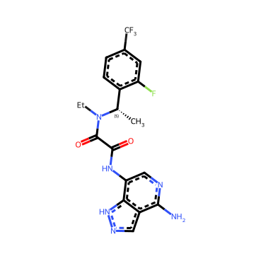 CCN(C(=O)C(=O)Nc1cnc(N)c2cn[nH]c12)[C@@H](C)c1ccc(C(F)(F)F)cc1F